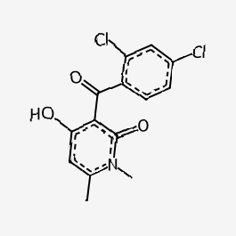 Cc1cc(O)c(C(=O)c2ccc(Cl)cc2Cl)c(=O)n1C